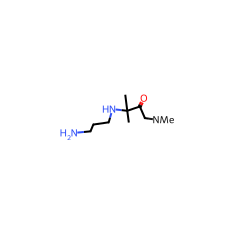 CNCC(=O)C(C)(C)NCCCN